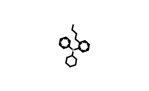 CCCCc1ccccc1P(c1ccccc1)C1CCCCC1